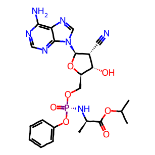 CC(C)OC(=O)[C@@H](C)N[P@](=O)(OC[C@H]1O[C@@H](n2cnc3c(N)ncnc32)[C@H](C#N)[C@@H]1O)Oc1ccccc1